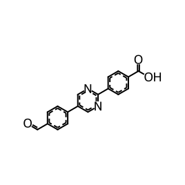 O=Cc1ccc(-c2cnc(-c3ccc(C(=O)O)cc3)nc2)cc1